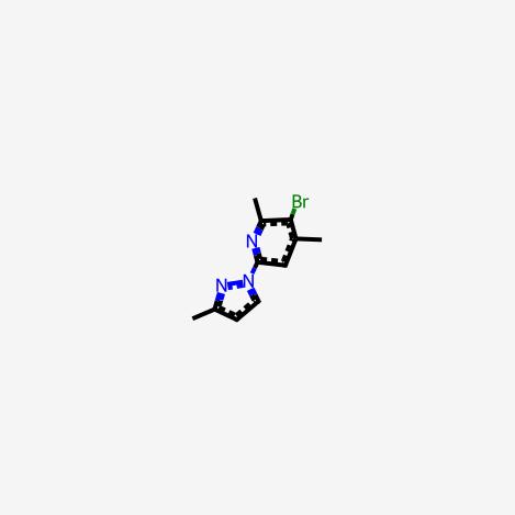 Cc1ccn(-c2cc(C)c(Br)c(C)n2)n1